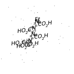 CCN(CCN(CCN(CCN(CC(=O)O)CC(C(=O)O)C(=O)O)CC(=O)O)CC(=O)O)CC(=O)O